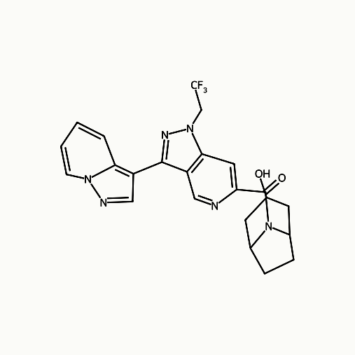 O=C(c1cc2c(cn1)c(-c1cnn3ccccc13)nn2CC(F)(F)F)N1C2CCC1CC(O)C2